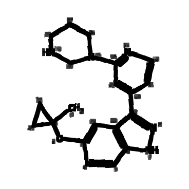 CC1(Oc2ccc3[nH]nc(-c4ccnc(N5CCCNC5)c4)c3c2)CC1